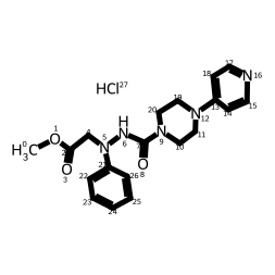 COC(=O)CN(NC(=O)N1CCN(c2ccncc2)CC1)c1ccccc1.Cl